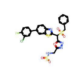 O=[SH](=O)NCc1nnc(C(c2nc3ccc(-c4ccc(F)c(Cl)c4)cc3s2)S(=O)(=O)Cc2ccccc2)o1